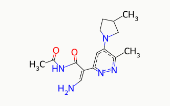 CC(=O)NC(=O)/C(=C\N)c1cc(N2CCC(C)C2)c(C)nn1